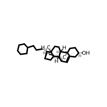 C[C@]12CC[C@H]3[C@@H](CC=C4C[C@@H](O)CC[C@@]43C)[C@@H]1CC[C@@H]2CCCC1CCCCC1